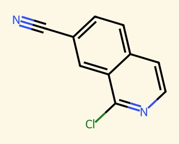 N#Cc1ccc2ccnc(Cl)c2c1